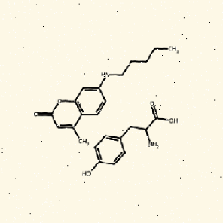 CCCCCNc1ccc2c(C)cc(=O)oc2c1.NC(Cc1ccc(O)cc1)C(=O)O